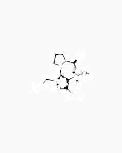 COC(=O)C1CCCN1c1c(S(C)(=O)=O)c(C)nn1CC(F)(F)F